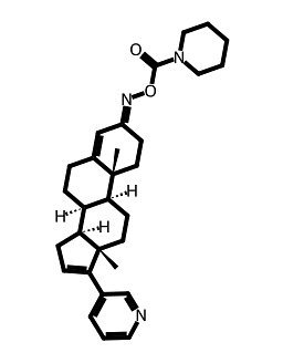 C[C@]12CCC(=NOC(=O)N3CCCCC3)C=C1CC[C@H]1[C@@H]2CC[C@]2(C)C(c3cccnc3)=CC[C@@H]12